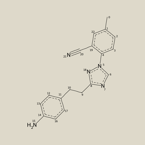 Cc1ccc(-n2cnc(CCc3ccc(N)cc3)n2)c(C#N)c1